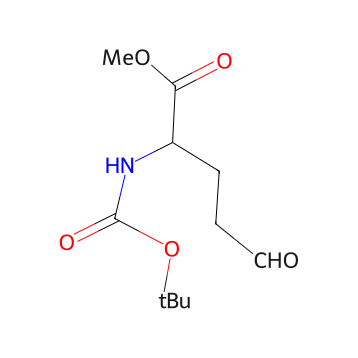 COC(=O)C(CCC=O)NC(=O)OC(C)(C)C